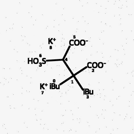 CCC(C)C(C(=O)[O-])(C(C)CC)C(C(=O)[O-])S(=O)(=O)O.[K+].[K+]